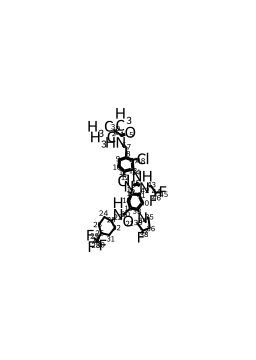 CC(C)(C)C(=O)NCc1ccc(Cl)c(Nc2nc3cc(C(=O)NC4CCC(C(F)(F)F)CC4)c(N4CCC(F)C4)cc3n2CC(F)F)c1Cl